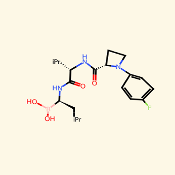 CC(C)C[C@H](NC(=O)[C@@H](NC(=O)[C@@H]1CCN1c1ccc(F)cc1)C(C)C)B(O)O